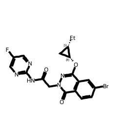 CC[C@H]1C[C@H]1Oc1nn(CC(=O)Nc2ncc(F)cn2)c(=O)c2ccc(Br)cc12